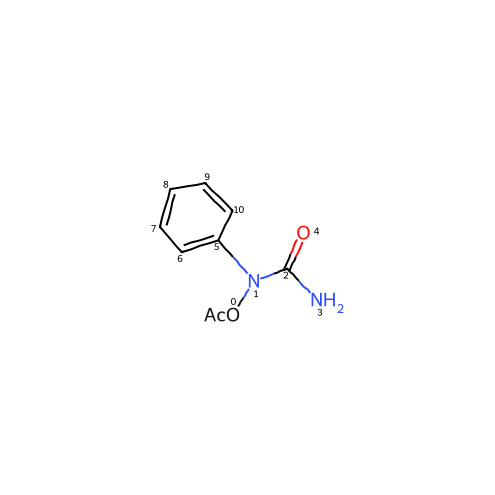 CC(=O)ON(C(N)=O)c1ccccc1